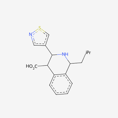 CC(C)CC1NC(c2cnsc2)C(C(=O)O)c2ccccc21